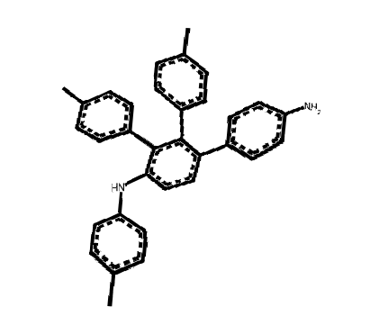 Cc1ccc(Nc2ccc(-c3ccc(N)cc3)c(-c3ccc(C)cc3)c2-c2ccc(C)cc2)cc1